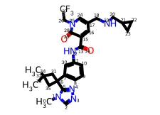 Cn1cnnc1C1(c2cccc(NC(=O)c3cc(CNCC4CC4)cn(CC(F)(F)F)c3=O)c2)CC(C)(C)C1